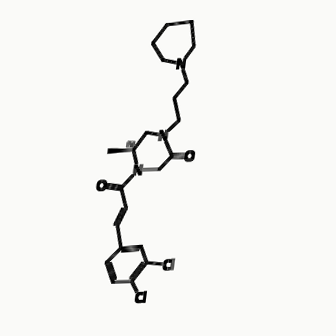 C[C@H]1CN(CCCN2CCCCC2)C(=O)CN1C(=O)C=Cc1ccc(Cl)c(Cl)c1